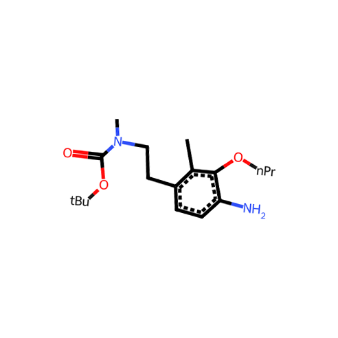 CCCOc1c(N)ccc(CCN(C)C(=O)OC(C)(C)C)c1C